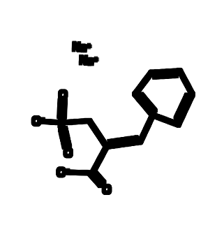 O=C([O-])C(=Cc1ccccc1)CS(=O)(=O)[O-].[Na+].[Na+]